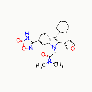 CN(C)C(=O)Cn1c(-c2ccoc2)c(C2CCCCC2)c2ccc(-c3noc(=O)[nH]3)cc21